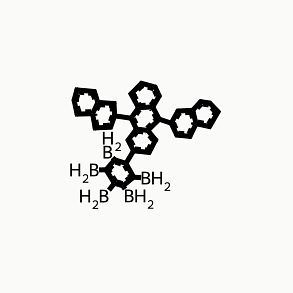 Bc1c(B)c(B)c(-c2ccc3c(-c4ccc5ccccc5c4)c4ccccc4c(-c4ccc5ccccc5c4)c3c2)c(B)c1B